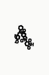 COc1ccc(CN[C@H]2CCCC[C@@H]2Oc2ccc3c(c2)CN(C2CCC(=O)NC2=O)C3=O)nc1